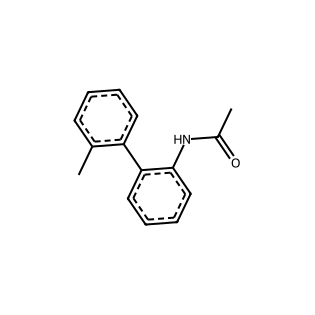 CC(=O)Nc1ccccc1-c1ccccc1C